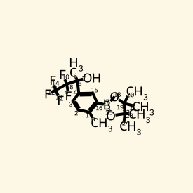 Cc1ccc(C(C)(O)C(F)(F)C(F)(F)F)cc1B1OC(C)(C)C(C)(C)O1